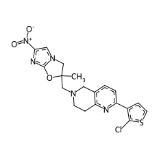 CC1(CN2CCc3nc(-c4ccsc4Cl)ccc3C2)Cn2cc([N+](=O)[O-])nc2O1